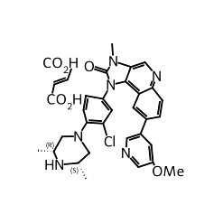 COc1cncc(-c2ccc3ncc4c(c3c2)n(-c2ccc(N3C[C@@H](C)N[C@@H](C)C3)c(Cl)c2)c(=O)n4C)c1.O=C(O)C=CC(=O)O